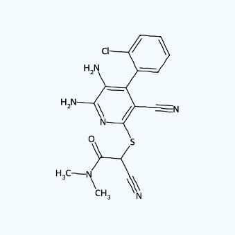 CN(C)C(=O)C(C#N)Sc1nc(N)c(N)c(-c2ccccc2Cl)c1C#N